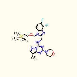 CS(C)(C)CCOCn1c(CNc2nc(N3CCOCC3)nc3c(C(F)(F)F)cnn23)nc2c(F)c(F)ccc21